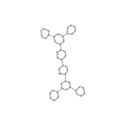 c1ccc(-c2cc(-c3ccccc3)cc(-c3ccc(-c4ccc(-c5cc(-c6ccccc6)cc(-c6ccccc6)c5)nc4)cn3)c2)cc1